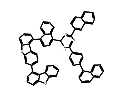 c1ccc2cc(C3=NC(c4ccc(-c5cccc6oc7cc(-c8cccc9oc%10ccccc%10c89)ccc7c56)c5ccccc45)NC(c4ccc(-c5cccc6ccccc56)cc4)=N3)ccc2c1